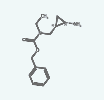 CCN(C[C@H]1C[C@@H]1N)C(=O)OCc1ccccc1